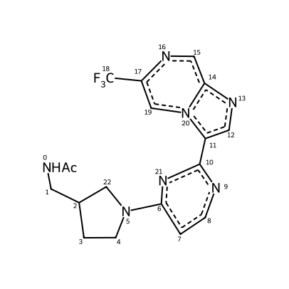 CC(=O)NCC1CCN(c2ccnc(-c3cnc4cnc(C(F)(F)F)cn34)n2)C1